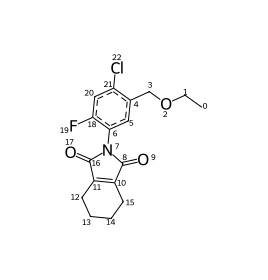 CCOCc1cc(N2C(=O)C3=C(CCCC3)C2=O)c(F)cc1Cl